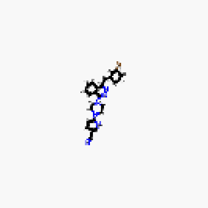 N#Cc1ccc(N2CCN(c3nnc(Cc4cccc(Br)c4)c4ccccc34)CC2)nc1